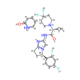 C[C@@H](C(=O)Nc1cn2c(n1)CC[C@@H]2c1ccc(F)cc1F)N1CCC(F)(F)[C@@H](c2ccc(=O)[nH]c2)C1